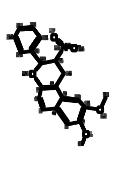 COc1cc2ccc3c(c2cc1OC)CC([N+](=O)[O-])C(c1ccccc1)O3